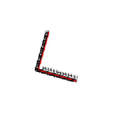 I.I.I.I.I.I.I.I.I.I.I.I.I.I.I.I.I.I.I.I.I.I.I.I.I.I.I.I.I.I.I.I.I.I.I.I.I.I.I.I.I.I.I.I.I.I.I.I.I.I.I.I.I.I.I.I.I.I.I.I.I.I.I.I.I.I.I.I.I.I.I.I.I.I.I.I.I.I.I.I.I.I.I.I.I.I.I.I.I.I.I.I.I.I.I.I.I.I.I.I.I.I.I.I.I.I.I.I.I.I.I.I.I.I.I.I.I.I.I.I.I.I.I.I.I.I.I.I.I.I.[I-].[Na+]